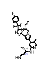 CN/C(=C\C=N)Nc1cc(-c2cc3n(c2)C[C@H](CF)n2c-3nnc2C(F)(F)c2ccc(F)cc2)c(C)cn1